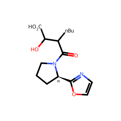 CCCCC(C(=O)N1CCC[C@@H]1c1ncco1)C(O)C(=O)O